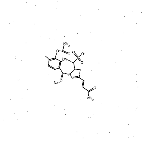 Cc1ccc2c(c1OC(N)=O)NC(S(=O)(=O)[O-])C1CC(C=CC(N)=O)=CN1C2=O.[Na+]